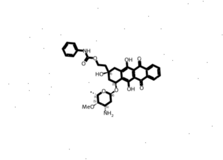 CO[C@@H]1[C@H](C)O[C@@H](O[C@H]2C[C@](O)(CCOC(=O)Nc3ccccc3)Cc3c(O)c4c(c(O)c32)C(=O)c2ccccc2C4=O)C[C@@H]1N